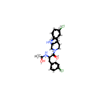 CC(O)NC(Cc1ccc(Cl)cc1)C(=O)N1CCc2c([nH]c3ccc(Cl)cc23)C1